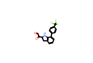 O=CC(=O)C1Cc2cccc(-c3ccc(C(F)(F)F)cc3)c2N1